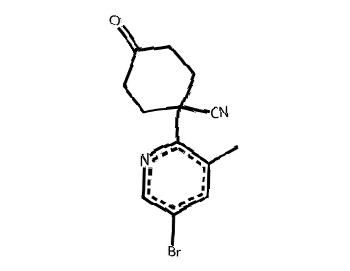 Cc1cc(Br)cnc1C1(C#N)CCC(=O)CC1